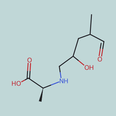 CC(C=O)CC(O)CN[C@@H](C)C(=O)O